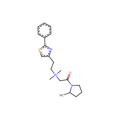 C[N+](C)(CCc1csc(-c2ccccc2)n1)CC(=O)N1CCCC1C#N